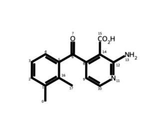 Cc1cccc(C(=O)c2ccnc(N)c2C(=O)O)c1C